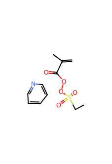 C=C(C)C(=O)OOS(=O)(=O)CC.c1ccncc1